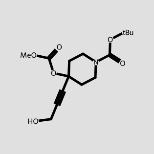 COC(=O)OC1(C#CCO)CCN(C(=O)OC(C)(C)C)CC1